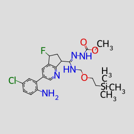 COC(=O)N/N=C(\NCOCC[Si](C)(C)C)C1CC(F)c2cc(-c3cc(Cl)ccc3N)cnc21